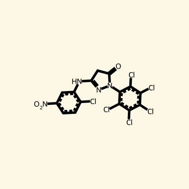 O=C1CC(Nc2cc([N+](=O)[O-])ccc2Cl)=NN1c1c(Cl)c(Cl)c(Cl)c(Cl)c1Cl